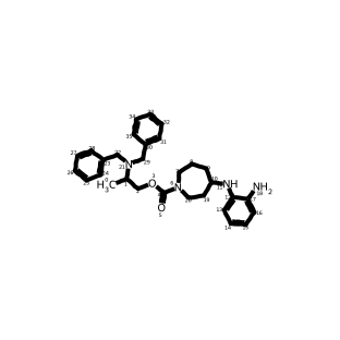 CC(COC(=O)N1CCCC(Nc2ccccc2N)CC1)N(Cc1ccccc1)Cc1ccccc1